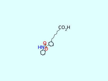 O=C(O)CCCCCCc1cccc(S(=O)(=O)Nc2ccccc2)c1